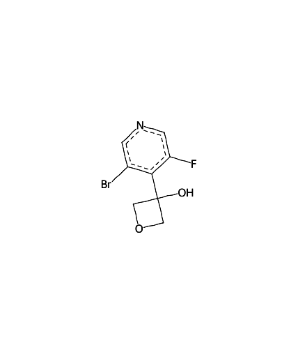 OC1(c2c(F)cncc2Br)COC1